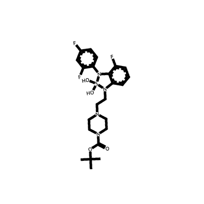 CC(C)(C)OC(=O)N1CCN(CCN2c3cccc(F)c3N(c3ccc(F)cc3F)S2(O)O)CC1